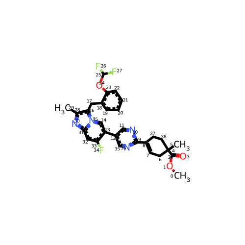 COC(=O)C1(C)CC=C(c2ncc(-c3cn4c(Cc5ccccc5OC(F)F)c(C)nc4cc3F)cn2)CC1